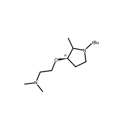 CC1[C@H](OCCN(C)C)CCN1C(C)(C)C